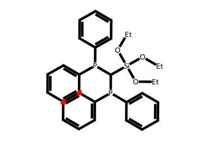 CCO[Si](OCC)(OCC)C(P(c1ccccc1)c1ccccc1)P(c1ccccc1)c1ccccc1